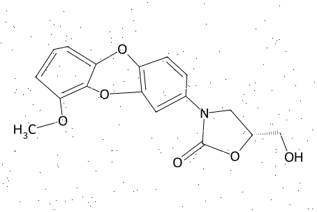 COc1cccc2c1Oc1cc(N3C[C@H](CO)OC3=O)ccc1O2